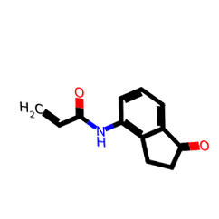 C=CC(=O)Nc1cccc2c1CCC2=O